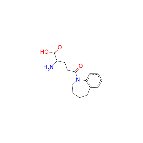 NC(CCC(=O)N1CCCCc2ccccc21)C(=O)O